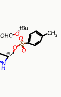 CC(C)(C)OC=O.Cc1ccc(S(=O)(=O)OC[C@H]2CCN2)cc1